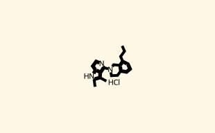 CCCc1cccc2c1CN(c1nccc3[nH]c(C)c(C)c13)CC2.Cl